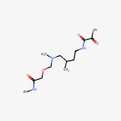 CCCC(=O)C(=O)NCCC(C)CN(C)COCC(=O)NC(C)C